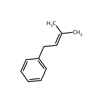 CC(C)=C[CH]c1ccccc1